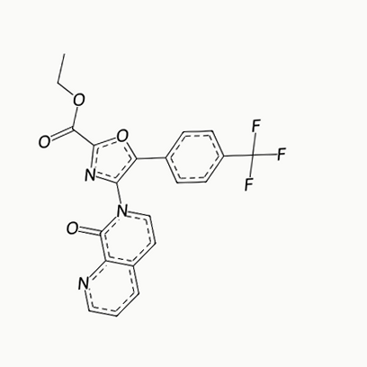 CCOC(=O)c1nc(-n2ccc3cccnc3c2=O)c(-c2ccc(C(F)(F)F)cc2)o1